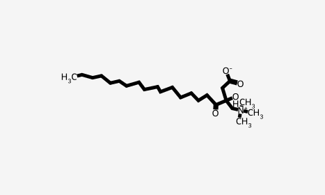 CCCCCCCCCCCCCCCCC(=O)C(O)(CC(=O)[O-])C[N+](C)(C)C